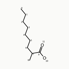 CCCCCCCC(C)C([O])=O